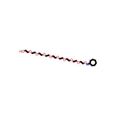 OCCOCCOCCOCCOCCOCCOCCOCCOCCON=C1CCCCCC1